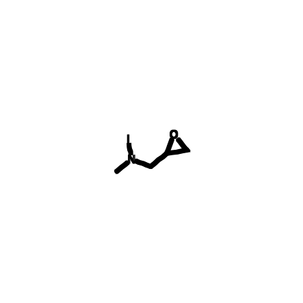 CN(I)CC1CO1